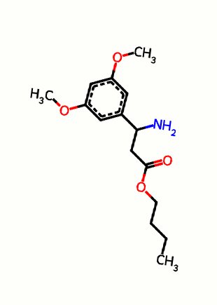 CCCCOC(=O)CC(N)c1cc(OC)cc(OC)c1